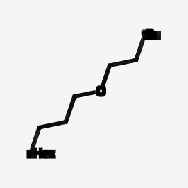 [CH2]CCCCCCCCOCCC(C)(C)C